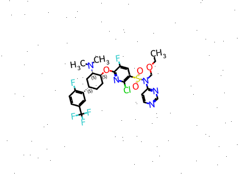 CCOCN(c1ccncn1)S(=O)(=O)c1cc(F)c(O[C@H]2CC[C@H](c3cc(C(F)(F)F)ccc3F)C[C@@H]2N(C)C)nc1Cl